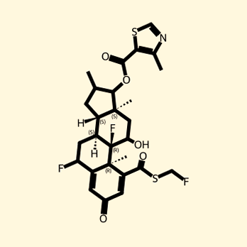 Cc1ncsc1C(=O)OC1C(C)C[C@H]2[C@@H]3CC(F)C4=CC(=O)C=C(C(=O)SCF)[C@]4(C)[C@@]3(F)C(O)C[C@]12C